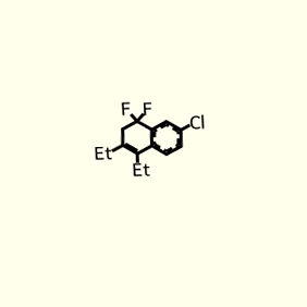 CCC1=C(CC)c2ccc(Cl)cc2C(F)(F)C1